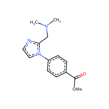 COC(=O)c1ccc(-n2ccnc2CN(C)C)cc1